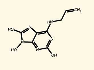 C=CCNc1nc(O)nc2c1nc(O)n2O